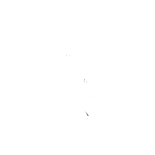 CC[C@@H](C)[C@@H](C)[C@H](C)[C@@H]([18F])/C=N/OCC(=O)C(C)C